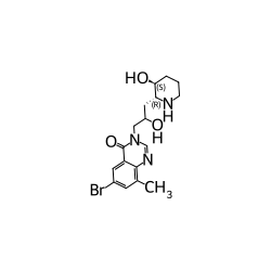 Cc1cc(Br)cc2c(=O)n(CC(O)C[C@H]3NCCC[C@@H]3O)cnc12